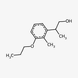 CCCOc1cccc([C](C)CO)c1C